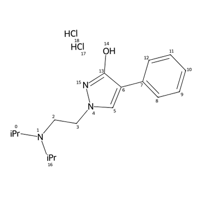 CC(C)N(CCn1cc(-c2ccccc2)c(O)n1)C(C)C.Cl.Cl